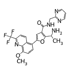 COc1ccc(-c2cc(C(=O)NCc3ncccn3)c(C(C)N)o2)c2ccc(C(F)(F)F)nc12